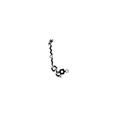 [N-]=[N+]=NCCCCCOCCCCN1CCN(N2CC=Nc3cc(Cl)ccc32)CC1